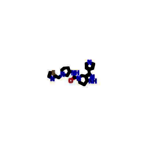 O=C(N[C@@H]1CCCN(Cc2nccs2)C1)N1CCc2[nH]nc(-c3ccncc3)c2C1